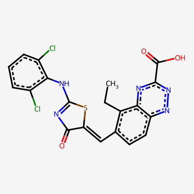 CCc1c(C=C2SC(Nc3c(Cl)cccc3Cl)=NC2=O)ccc2nnc(C(=O)O)nc12